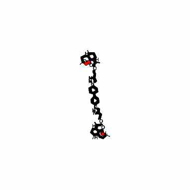 C[C@H]1[C@H](OCCc2cn(-c3ccc(-c4ccc(-n5cc(CCO[C@@H]6O[C@@H]7O[C@]8(C)CC[C@H]9[C@H](C)CC[C@@H]([C@H]6C)[C@@]79OO8)nn5)cc4)cc3)nn2)O[C@@H]2O[C@]3(C)CC[C@H]4[C@H](C)CC[C@@H]1[C@@]24OO3